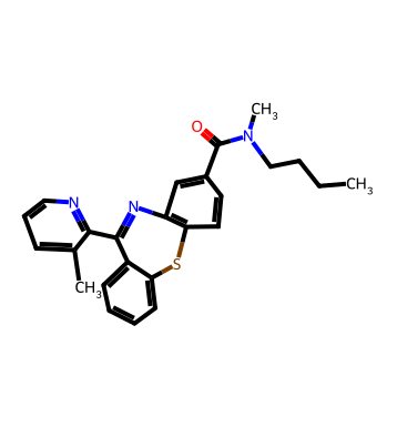 CCCCN(C)C(=O)c1ccc2c(c1)N=C(c1ncccc1C)c1ccccc1S2